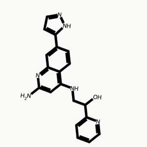 Nc1cc(NCC(O)c2ccccn2)c2ccc(-c3ccn[nH]3)cc2n1